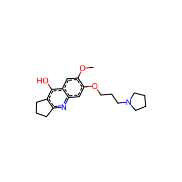 COc1cc2c(O)c3c(nc2cc1OCCCN1CCCC1)CCC3